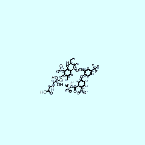 CCC(CC)Nc1c([N+](=O)[O-])cc(C)c(C)c1[N+](=O)[O-].CS(=O)(=O)NC(=O)c1cc(Oc2ccc(C(F)(F)F)cc2Cl)ccc1[N+](=O)[O-].O=C(O)CNCP(=O)(O)O